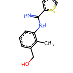 Cc1c(CO)cccc1NC(=N)c1cccs1